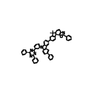 CC1(C)c2cc(-c3ccc4c(c3)c3cc(-c5ccccc5)ccc3n4-c3cccc(-c4nc(-c5ccccc5)nc(-c5ccccc5)n4)c3)ccc2-c2c1ccc1nc(-c3ccccc3)oc21